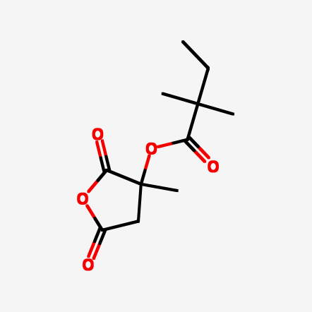 CCC(C)(C)C(=O)OC1(C)CC(=O)OC1=O